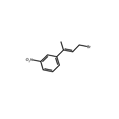 C/C(=C\CBr)c1cccc([N+](=O)[O-])c1